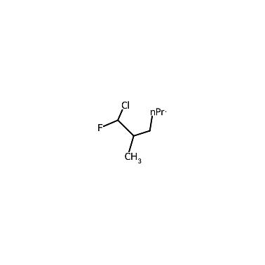 CC[CH]CC(C)C(F)Cl